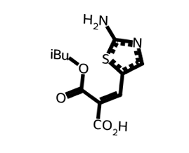 CCC(C)OC(=O)C(=Cc1cnc(N)s1)C(=O)O